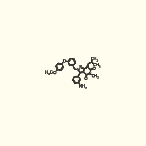 COc1ccc(Oc2cccc(Cn3nc4c(c3-c3cccc(N)c3)c(=O)n(C)c(=O)n4CC(C)C)c2)cc1